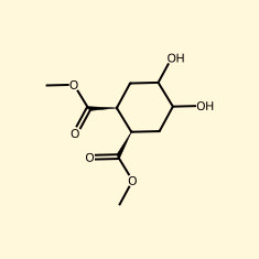 COC(=O)[C@H]1CC(O)C(O)C[C@H]1C(=O)OC